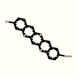 CCCCCCc1ccc2nc3cc4nc5cc(CC)ccc5cc4nc3cc2c1